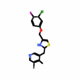 Cc1cncc(CC2NC(COC3=CC(Cl)C(I)C=C3)=CS2)c1C